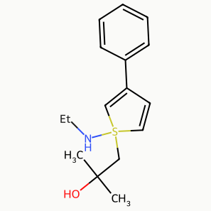 CCNS1(CC(C)(C)O)C=CC(c2ccccc2)=C1